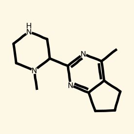 Cc1nc(C2CNCCN2C)nc2c1CCC2